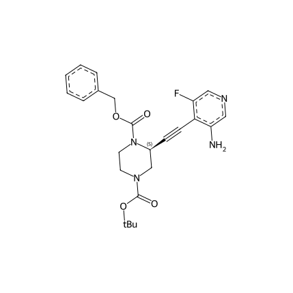 CC(C)(C)OC(=O)N1CCN(C(=O)OCc2ccccc2)[C@@H](C#Cc2c(N)cncc2F)C1